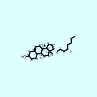 CCCC[C@H](C)CCC[C@H]1CCC2[C@@H]3CC=C4CC(O)CC[C@]4(C)C3CCC21C